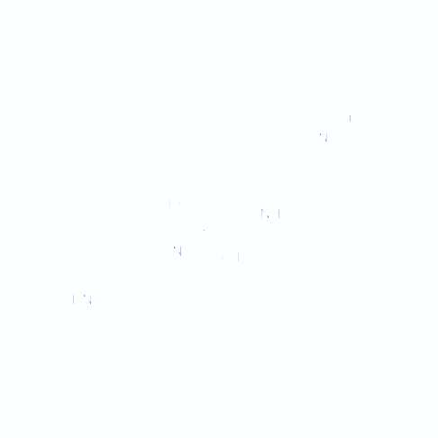 CC(C)N1CCC2(CC1)CC(C(C)(C)N1CC3(CCNC3)C1)N2